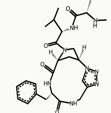 CN[C@@H](C)C(=O)N[C@H](C(=O)N1C[C@@H]2C[C@H]1C(=O)N[C@@H](Cc1ccccc1)C(=O)NCc1cn2nn1)C(C)C